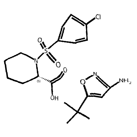 CC(C)(C)c1cc(N)no1.O=C(O)[C@@H]1CCCCN1S(=O)(=O)c1ccc(Cl)cc1